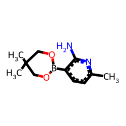 Cc1ccc(B2OCC(C)(C)CO2)c(N)n1